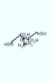 CCCCCCCC/C=C\CCCCCCC(CCN(CCC(CCCCCC/C=C\CCCCCCCC)C(=O)O)C(=O)CCN(C)C)C(=O)O